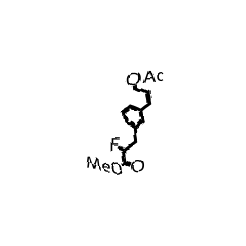 COC(=O)C(F)Cc1cccc(/C=C\COC(C)=O)c1